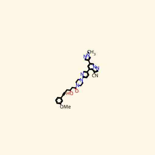 COc1cccc(C#CCC(O)CC(=O)N2CCN(c3ccc(-c4cc(-c5cnn(C)c5)cn5ncc(C#N)c45)cn3)CC2)c1